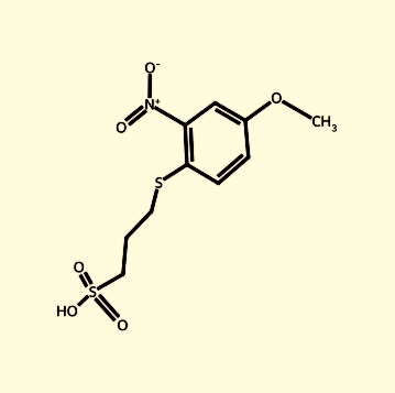 COc1ccc(SCCCS(=O)(=O)O)c([N+](=O)[O-])c1